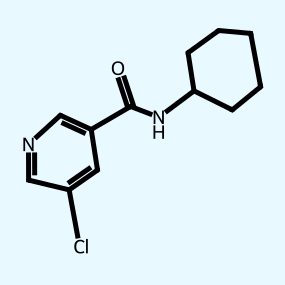 O=C(NC1CCCCC1)c1cncc(Cl)c1